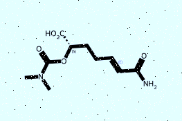 CN(C)C(=O)O[C@@H](CC/C=C/C(N)=O)C(=O)O